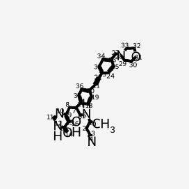 CC(CC#N)NCC(Cc1nc[nH]c(=O)c1O)c1ccc(C#Cc2ccc(CN3CCOCC3)cc2)cc1